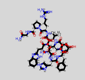 CC(C)C[C@@H](C(=O)N[C@@H](CCCNC(=N)N)C(=O)N1CCC[C@H]1C(=O)NCC(N)=O)N(C(=O)[C@H](N)Cc1nc2ccccc2[nH]1)C(=O)[C@H](Cc1ccc(O)cc1)NC(=O)[C@H](CO)NC(=O)[C@H](Cc1ccccc1)NC(=O)[C@H](Cc1c[nH]cn1)NC(=O)[C@@H](N)CCC(=O)O